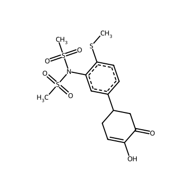 CSc1ccc(C2CC=C(O)C(=O)C2)cc1N(S(C)(=O)=O)S(C)(=O)=O